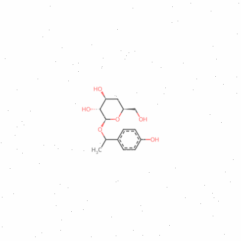 CC(O[C@@H]1O[C@H](CO)C[C@H](O)[C@H]1O)c1ccc(O)cc1